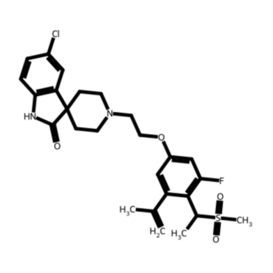 C=C(C)c1cc(OCCN2CCC3(CC2)C(=O)Nc2ccc(Cl)cc23)cc(F)c1C(C)S(C)(=O)=O